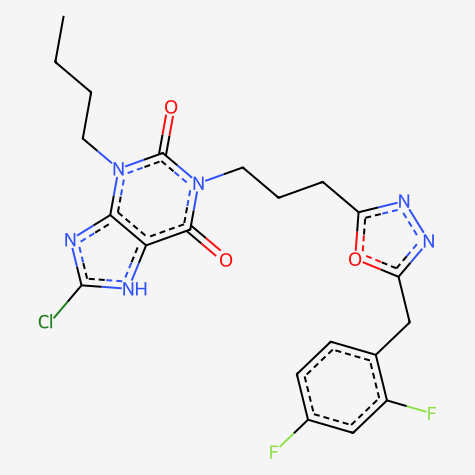 CCCCn1c(=O)n(CCCc2nnc(Cc3ccc(F)cc3F)o2)c(=O)c2[nH]c(Cl)nc21